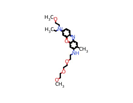 CC/[N+](CCOC)=c1/ccc2nc3cc(C)c(NCCOCCOCCOC)cc3oc-2c1